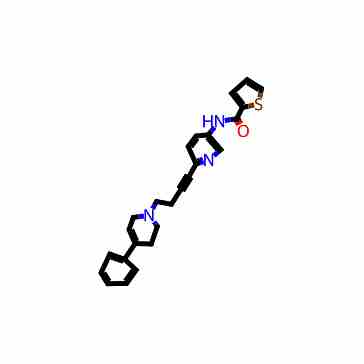 O=C(Nc1ccc(C#CCCN2CC=C(c3ccccc3)CC2)nc1)c1cccs1